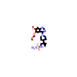 COCOc1cc2c(N3CCC(C4(CNS(N)(=O)=O)CC4)CC3)ncnc2cc1OC